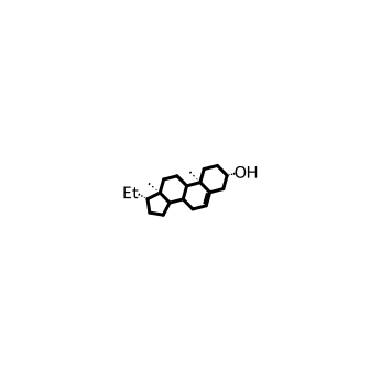 CC[C@H]1CCC2C3CC=C4C[C@@H](O)CC[C@]4(C)C3CC[C@@]21C